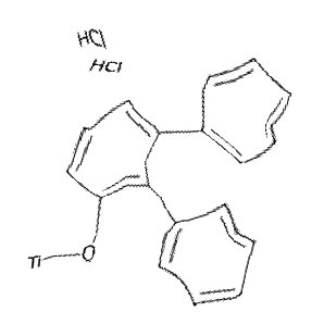 Cl.Cl.[Ti][O]c1cccc(-c2ccccc2)c1-c1ccccc1